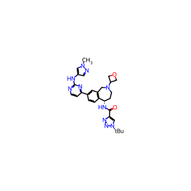 Cn1cc(Nc2nccc(-c3ccc4c(c3)CN(C3COC3)CC[C@@H]4NC(=O)c3cn(C(C)(C)C)nn3)n2)cn1